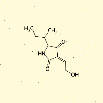 CCC(C)C1NC(=O)/C(=C\CO)C1=O